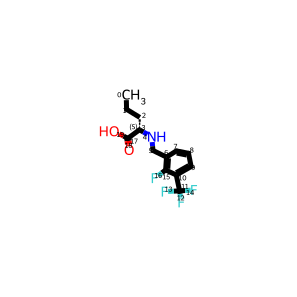 CCC[C@H](NCc1cccc(C(F)(F)F)c1F)C(=O)O